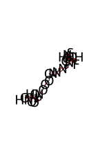 O=C1CCC(N2C(=O)c3cccc(NCCOCCOCCOCCC(=O)N4CCN(C5CCN(c6ccc7c(c6)C(=O)N(C(C(=O)Nc6nccs6)c6cc(F)ccc6O)C7)CC5)CC4)c3C2=O)C(=O)N1